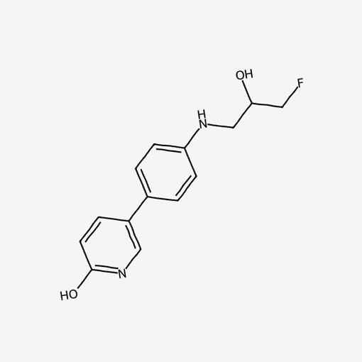 Oc1ccc(-c2ccc(NCC(O)CF)cc2)cn1